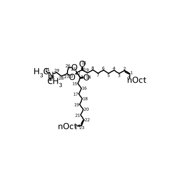 CCCCCCCC/C=C\CCCCCCCC(=O)C1(C(=O)CCCCCCC/C=C\CCCCCCCC)OCC(CCN(C)C)O1